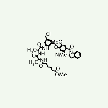 CNc1cc(OCc2cc(CCl)cc(NC(=O)C(C)NC(=O)C(C)NC(=O)CCCCC(=O)OC)c2)c(OC)cc1C(=O)N1CCc2ccccc21